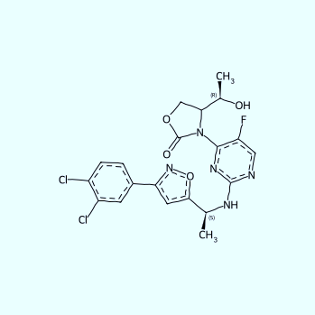 C[C@H](Nc1ncc(F)c(N2C(=O)OCC2[C@@H](C)O)n1)c1cc(-c2ccc(Cl)c(Cl)c2)no1